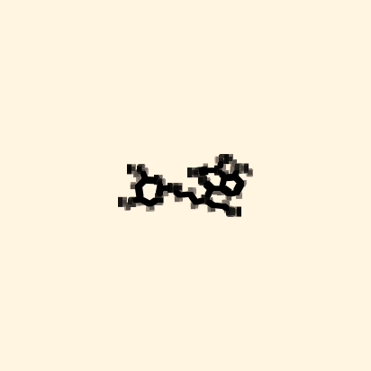 C#CN(C)c1c(C)cccc1C(=O)N(CCO)CCCNC1=NCC(C)=CC(C)=N1